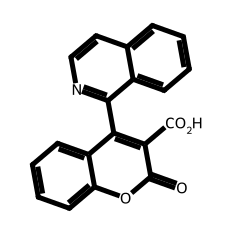 O=C(O)c1c(-c2nccc3ccccc23)c2ccccc2oc1=O